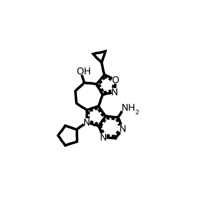 Nc1ncnc2c1c1c(n2C2CCCC2)CCC(O)c2c-1noc2C1CC1